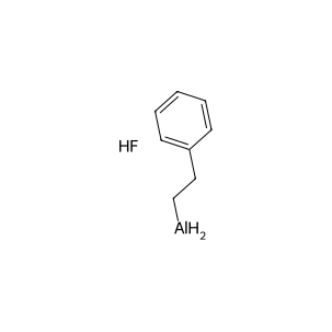 F.[AlH2][CH2]Cc1ccccc1